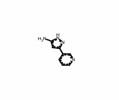 Nc1cc(-c2cccnc2)n[nH]1